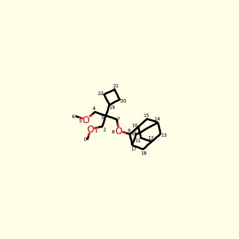 COCC(COC)(COC1C2CC3CC(C2)CC1C3)C1CCC1